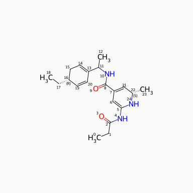 CCC(=O)NC1=CC(C(=O)NC(C)C2=CC[C@@H](CC)C=C2)=C[C@H](C)N1